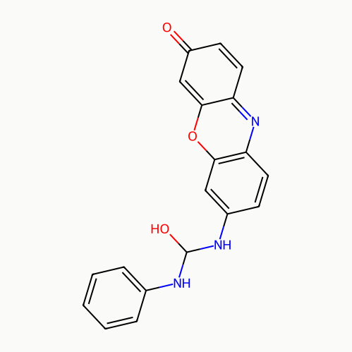 O=c1ccc2nc3ccc(NC(O)Nc4ccccc4)cc3oc-2c1